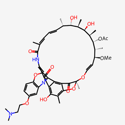 CO[C@H]1/C=C/O[C@@]2(C)Oc3c(C)c(O)c4c(=O)c(c5oc6ccc(OCCN(C)C)cc6nc-5c4c3C2=O)NC(=O)/C(C)=C\C=C\[C@H](C)[C@H](O)[C@@H](C)[C@@H](O)[C@@H](C)[C@H](OC(C)=O)[C@@H]1C